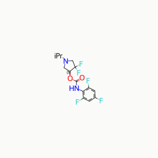 CC(C)N1C[C@H](OC(=O)Nc2c(F)cc(F)cc2F)C(F)(F)C1